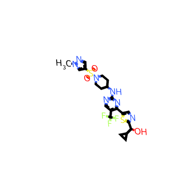 Cn1cc(S(=O)(=O)N2CCC(Nc3ncc(C(F)(F)F)c(-c4cnc(C(O)C5CC5)s4)n3)CC2)cn1